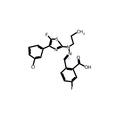 CCCN(/N=C/c1ccc(F)cc1C(=O)O)c1nc(-c2cccc(Cl)c2)c(F)s1